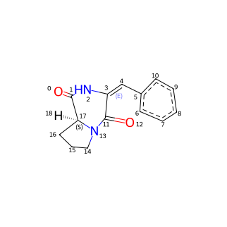 O=C1N/C(=C/c2ccccc2)C(=O)N2CCC[C@@H]12